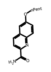 CCCCCOc1ccc2nc(C(N)=O)ccc2c1